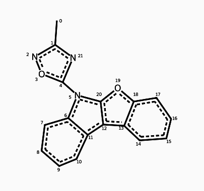 Cc1noc(-n2c3ccccc3c3c4ccccc4oc32)n1